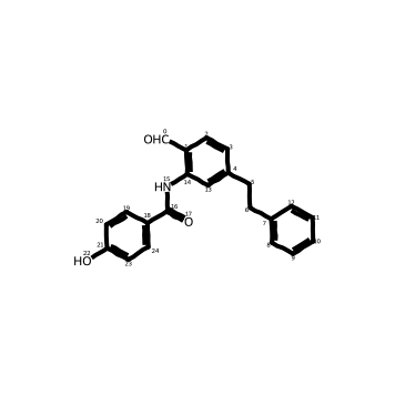 O=Cc1ccc(CCc2ccccc2)cc1NC(=O)c1ccc(O)cc1